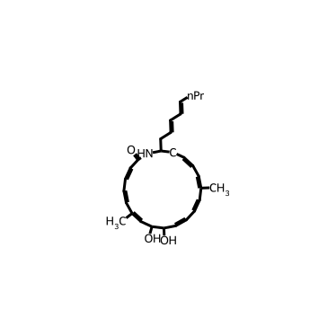 CCCC=CC=CCC1CC=CC=C(C)C=CC=CC(O)C(O)C=C(C)C=CC=CC(=O)N1